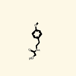 COc1ccc(CCNC(=O)CO)cc1